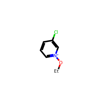 CCO[n+]1cccc(Cl)c1